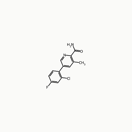 Cc1cc(-c2ccc(F)cc2Cl)cnc1C(N)=O